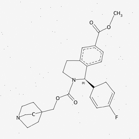 COC(=O)c1ccc2c(c1)CCN(C(=O)OCC13CCN(CC1)CC3)[C@@H]2C1C=CC(F)=CC1